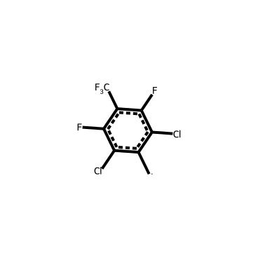 [CH2]c1c(Cl)c(F)c(C(F)(F)F)c(F)c1Cl